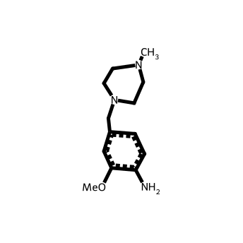 COc1cc(CN2CCN(C)CC2)ccc1N